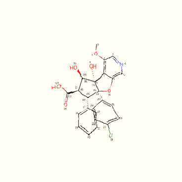 COc1cncc2c1[C@]1(O)[C@H](O)[C@H](C(=O)O)[C@@H](c3ccccc3)[C@]1(c1ccc(Cl)cc1)O2